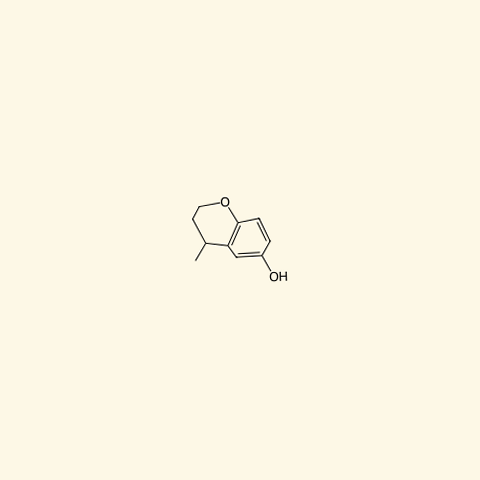 CC1CCOc2ccc(O)cc21